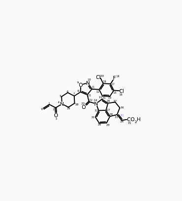 C=CC(=O)N1CCC(c2onc(-c3ccc(Cl)c(F)c3Cl)c2C(=O)n2cc3c4c(cccc42)/C(=C/C(=O)O)CC3)CC1